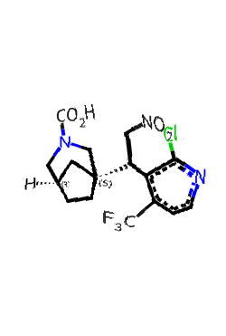 O=C(O)N1C[C@@H]2CC[C@@](C(C[N+](=O)[O-])c3c(C(F)(F)F)ccnc3Cl)(C2)C1